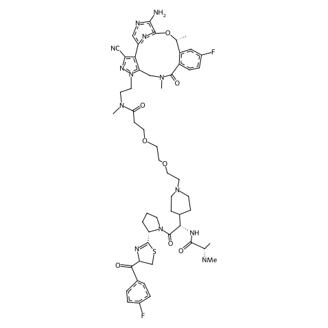 CN[C@@H](C)C(=O)N[C@H](C(=O)N1CCC[C@H]1C1=NC(C(=O)c2ccc(F)cc2)CS1)C1CCN(CCOCCOCCC(=O)N(C)CCn2nc(C#N)c3c2CN(C)C(=O)c2ccc(F)cc2[C@@H](C)Oc2nc-3cnc2N)CC1